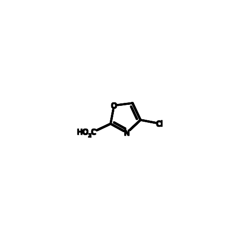 O=C(O)c1nc(Cl)co1